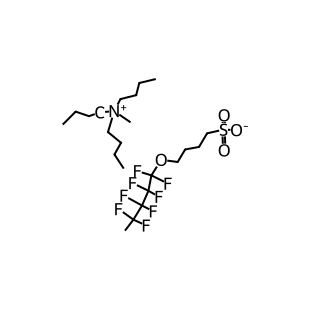 CC(F)(F)C(F)(F)C(F)(F)C(F)(F)OCCCCS(=O)(=O)[O-].CCCC[N+](C)(CCCC)CCCC